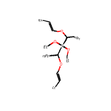 CCC=COC(CCC)[Si](OCC)(OCC)C(CCC)OC=CCC